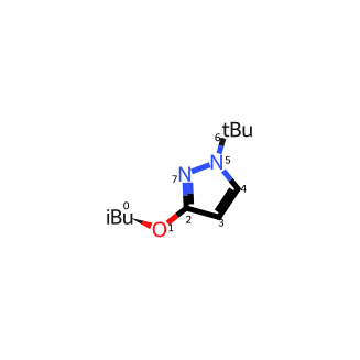 CC[C@H](C)Oc1ccn(C(C)(C)C)n1